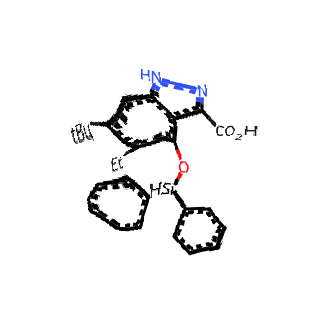 CCc1c(C(C)(C)C)cc2[nH]nc(C(=O)O)c2c1O[SiH](c1ccccc1)c1ccccc1